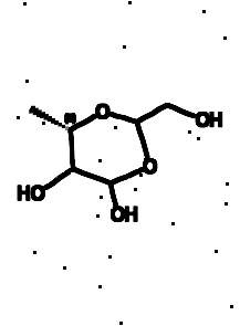 C[C@@H]1OC(CO)OC(O)C1O